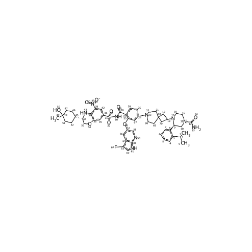 CC(C)c1ccccc1[C@@H]1CN(C(N)=O)CCN1C1CC2(CCN(c3ccc(C(=O)NS(=O)(=O)c4cc5c(c([N+](=O)[O-])c4)N[C@@H](C4CCC(C)(O)CC4)CO5)c(Oc4cnc5[nH]cc(F)c5c4)c3)CC2)C1